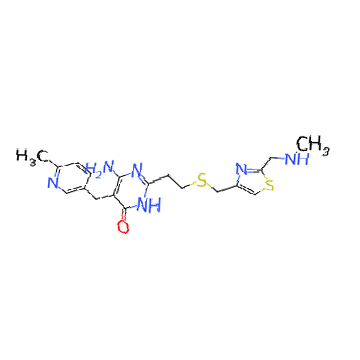 CNCc1nc(CSCCc2nc(N)c(Cc3ccc(C)nc3)c(=O)[nH]2)cs1